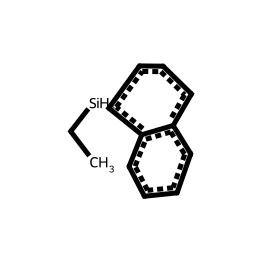 CC[SiH3].c1ccc2ccccc2c1